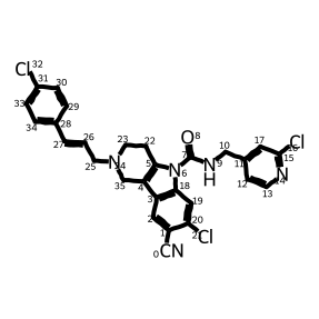 N#Cc1cc2c3c(n(C(=O)NCc4ccnc(Cl)c4)c2cc1Cl)CCN(C/C=C/c1ccc(Cl)cc1)C3